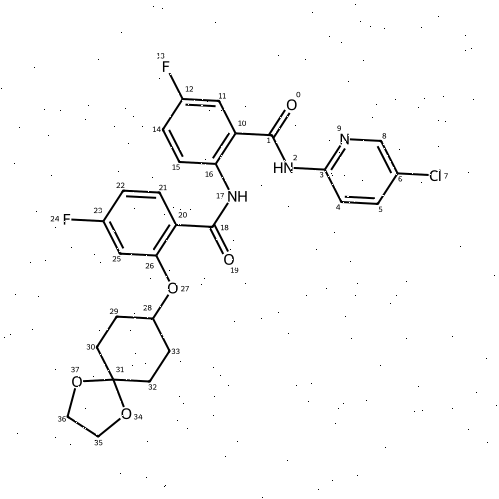 O=C(Nc1ccc(Cl)cn1)c1cc(F)ccc1NC(=O)c1ccc(F)cc1OC1CCC2(CC1)OCCO2